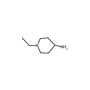 NC1CCN(CI)CC1